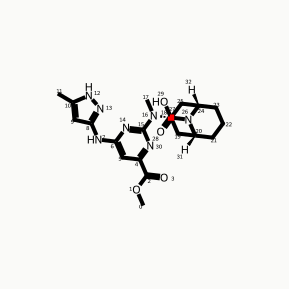 COC(=O)c1cc(Nc2cc(C)[nH]n2)nc(N(C)[C@H]2C[C@H]3CCC[C@@H](C2)N3C(=O)O)n1